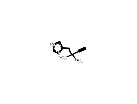 C#CC(N)(Cc1c[nH]cn1)C(=O)O